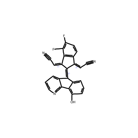 N#C/C=C1C(=C2\c3cccnc3-c3c(O)cccc32)/C(=C/C#N)c2ccc(F)c(F)c2/1